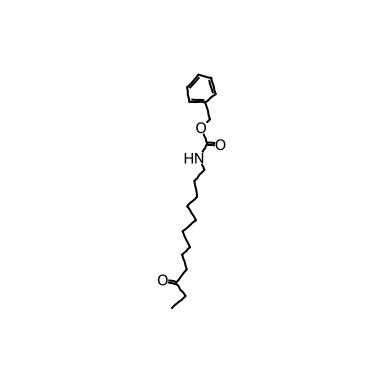 CCC(=O)CCCCCCCCCNC(=O)OCc1ccccc1